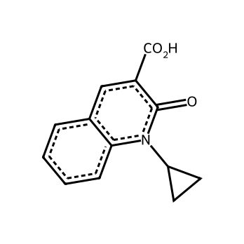 O=C(O)c1cc2ccccc2n(C2CC2)c1=O